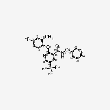 Cc1cc(F)ccc1Oc1ncc(C(F)(F)F)cc1C(=O)NOc1cccnc1